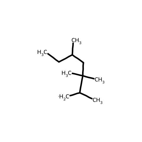 [CH2]C(C)C(C)(C)CC(C)CC